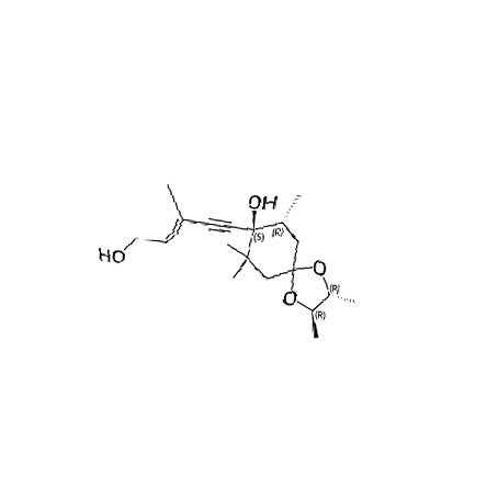 CC(C#C[C@]1(O)[C@H](C)CC2(CC1(C)C)O[C@H](C)[C@@H](C)O2)=CCO